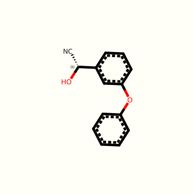 N#C[C@@H](O)c1cccc(Oc2ccccc2)c1